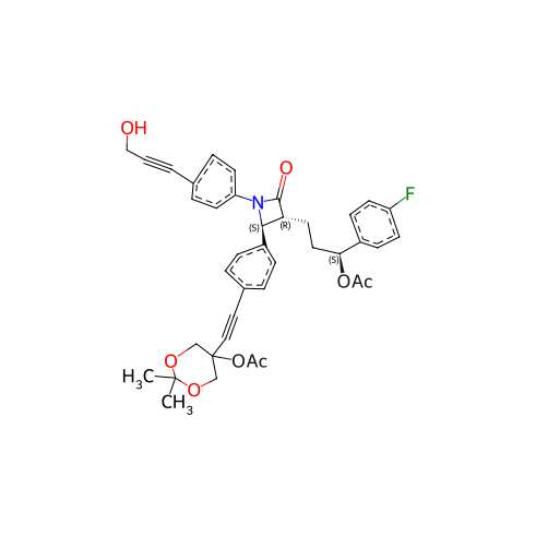 CC(=O)O[C@@H](CC[C@H]1C(=O)N(c2ccc(C#CCO)cc2)[C@@H]1c1ccc(C#CC2(OC(C)=O)COC(C)(C)OC2)cc1)c1ccc(F)cc1